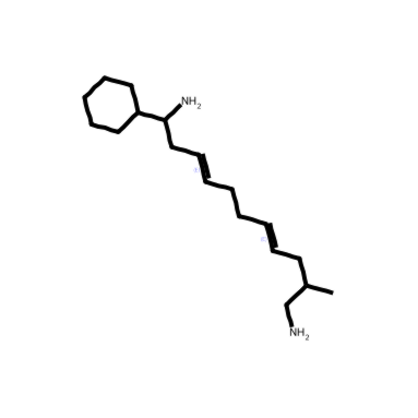 CC(CN)C/C=C/CC/C=C/CC(N)C1CCCCC1